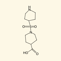 O=C(O)C1CCN(S(=O)(=O)C2CCNCC2)CC1